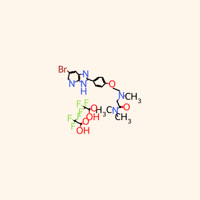 CN(CCOc1ccc(-c2nc3cc(Br)cnc3[nH]2)cc1)CC(=O)N(C)C.O=C(O)C(F)(F)F.O=C(O)C(F)(F)F